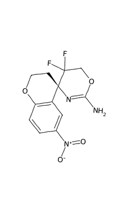 NC1=N[C@@]2(CCOc3ccc([N+](=O)[O-])cc32)C(F)(F)CO1